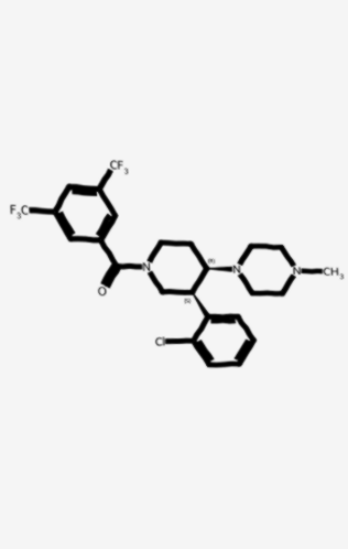 CN1CCN([C@@H]2CCN(C(=O)c3cc(C(F)(F)F)cc(C(F)(F)F)c3)C[C@@H]2c2ccccc2Cl)CC1